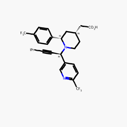 CC(C)C#C[C@H](c1ccc(C(F)(F)F)nc1)N1CC[C@@H](CC(=O)O)C[C@H]1c1ccc(C(F)(F)F)cc1